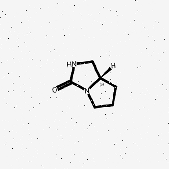 O=C1NC[C@@H]2CCCN12